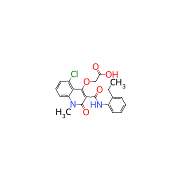 CCc1ccccc1NC(=O)c1c(OCC(=O)O)c2c(Cl)cccc2n(C)c1=O